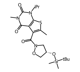 Cc1sc2c(c1C(=O)N1C[C@H](O[Si](C)(C)C(C)(C)C)CO1)c(=O)n(C)c(=O)n2C(C)C